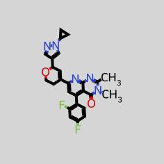 Cc1nc2nc(C3=CC(c4cnn(C5CC5)c4)OCC3)cc(-c3ccc(F)cc3F)c2c(=O)n1C